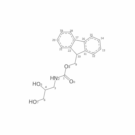 O=C(NCC(O)CO)OCC1c2ccccc2-c2ccccc21